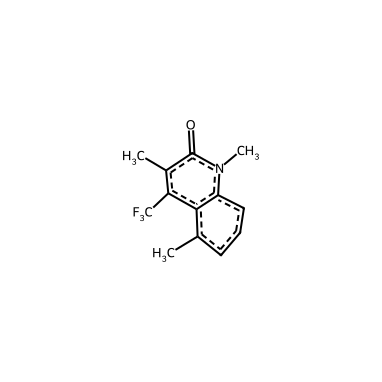 Cc1c(C(F)(F)F)c2c(C)cccc2n(C)c1=O